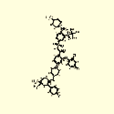 CC1CCN(Nc2ccc(S(=O)(=O)NC(=O)c3ccc(N4CCN(CC5=C(c6ccc(Cl)cc6)CC(C)(C)CC5)CC4)cc3Oc3ccc(O)cc3Cl)cc2S(=O)(=O)C(F)(F)F)CC1